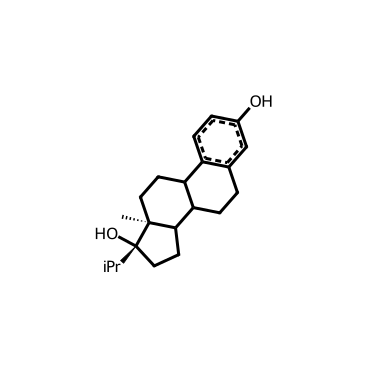 CC(C)[C@]1(O)CCC2C3CCc4cc(O)ccc4C3CC[C@@]21C